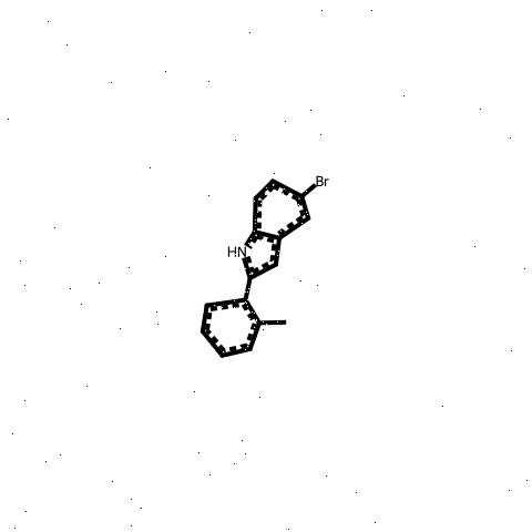 Cc1ccccc1-c1cc2cc(Br)ccc2[nH]1